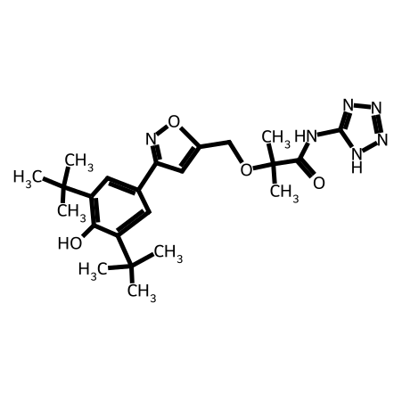 CC(C)(OCc1cc(-c2cc(C(C)(C)C)c(O)c(C(C)(C)C)c2)no1)C(=O)Nc1nnn[nH]1